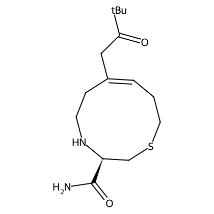 CC(C)(C)C(=O)C/C1=C/CCSC[C@@H](C(N)=O)NCC1